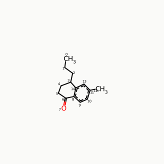 CCCC1CCC(=O)c2ccc(C)cc21